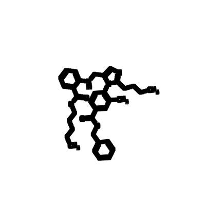 CCCCCOC(=O)c1ccccc1NCc1cnc(CCCC)n1-c1ccc(C(=O)OCc2ccccc2)cc1C